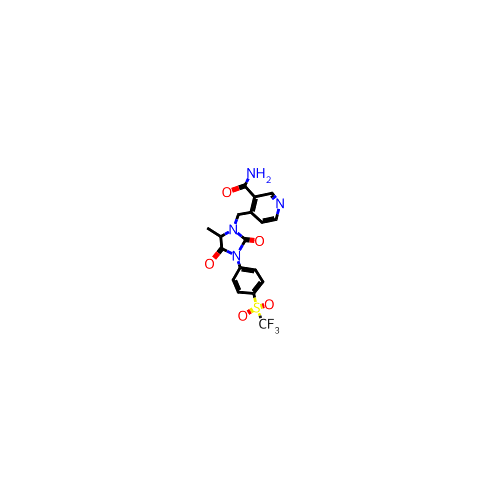 CC1C(=O)N(c2ccc(S(=O)(=O)C(F)(F)F)cc2)C(=O)N1Cc1ccncc1C(N)=O